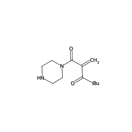 C=C(C(=O)C(C)CC)C(=O)N1CCNCC1